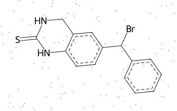 S=C1NCc2cc(C(Br)c3ccccc3)ccc2N1